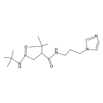 CC(C)(C)NC(=O)CC(C(=O)NCCCn1ccnc1)C(C)(C)C